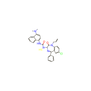 C=CCN1C(=O)C(N(S)C(=O)Nc2ccc(N(C)C)c3ccccc23)N=C(c2ccccc2)c2cc(Cl)ccc21